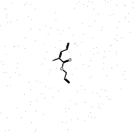 C=CC=C(C)C(=O)OCC=C